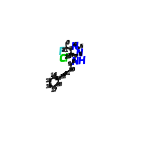 CC(F)c1ncnc(NCCC#Cc2ccccc2)c1Cl